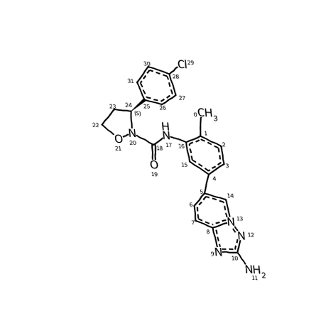 Cc1ccc(-c2ccc3nc(N)nn3c2)cc1NC(=O)N1OCC[C@H]1c1ccc(Cl)cc1